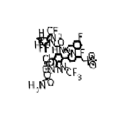 CC(C)(CCc1ccc(-c2ccc(Cl)c3c(N(COC(=O)CN)S(C)(=O)=O)nn(CC(F)(F)F)c23)c([C@H](Cc2cc(F)cc(F)c2)NC(=O)Cn2nc(C(F)(F)F)c3c2C(F)(F)[C@@H]2C[C@H]32)n1)S(C)(=O)=O